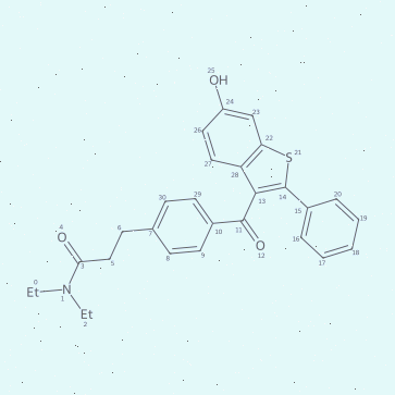 CCN(CC)C(=O)CCc1ccc(C(=O)c2c(-c3ccccc3)sc3cc(O)ccc23)cc1